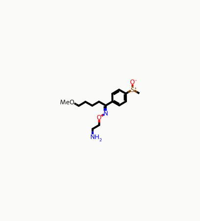 COCCCCC(=NOCCN)c1ccc([S+](C)[O-])cc1